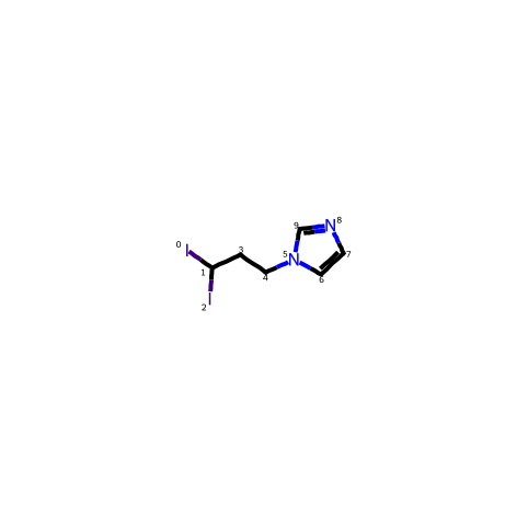 IC(I)CCn1ccnc1